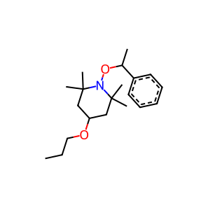 CCCOC1CC(C)(C)N(OC(C)c2ccccc2)C(C)(C)C1